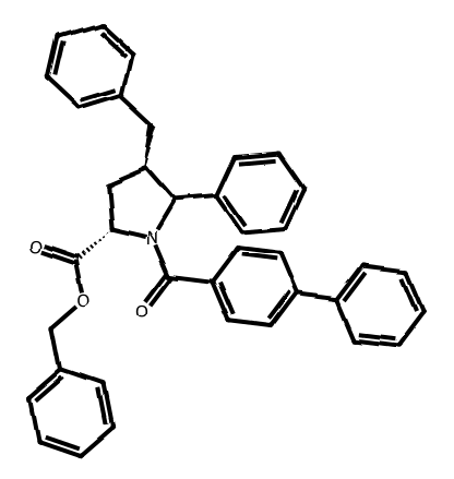 O=C(OCc1ccccc1)[C@@H]1C[C@@H](Cc2ccccc2)C(c2ccccc2)N1C(=O)c1ccc(-c2ccccc2)cc1